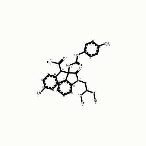 CCOC(CN1C(=O)C(NC(=O)Nc2ccc(C)cc2)(C(C(N)=O)c2ccc(N)cc2)c2ccccc21)OCC